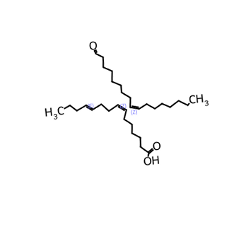 CCC/C=C/CC/C=C\CCCCCC(=O)O.CCCCCCC/C=C\CCCCCCCC=O